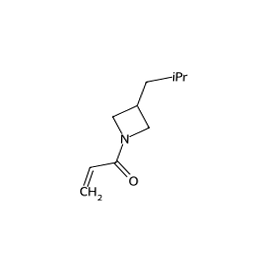 C=CC(=O)N1CC(CC(C)C)C1